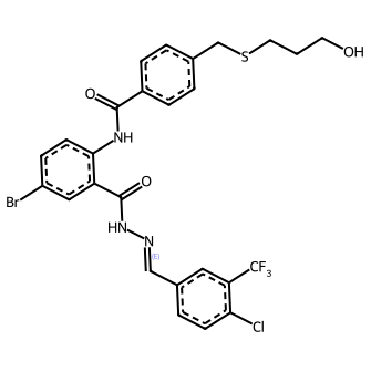 O=C(Nc1ccc(Br)cc1C(=O)N/N=C/c1ccc(Cl)c(C(F)(F)F)c1)c1ccc(CSCCCO)cc1